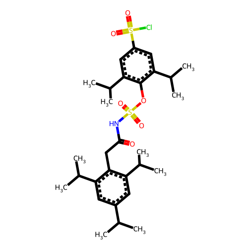 CC(C)c1cc(C(C)C)c(CC(=O)NS(=O)(=O)Oc2c(C(C)C)cc(S(=O)(=O)Cl)cc2C(C)C)c(C(C)C)c1